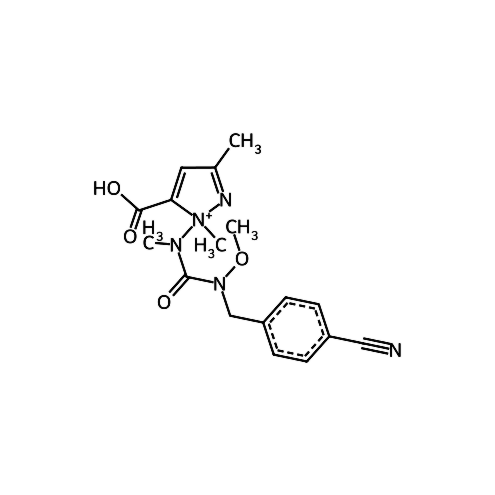 CON(Cc1ccc(C#N)cc1)C(=O)N(C)[N+]1(C)N=C(C)C=C1C(=O)O